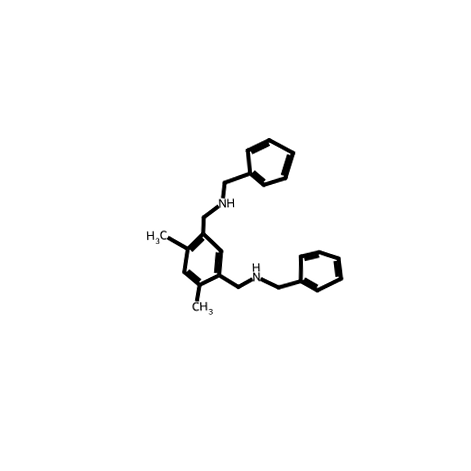 Cc1cc(C)c(CNCc2ccccc2)cc1CNCc1ccccc1